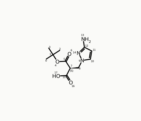 CC(C)(C)OC(=O)[C@@H](Cn1ccc(N)n1)C(=O)O